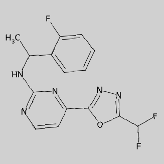 CC(Nc1nccc(-c2nnc(C(F)F)o2)n1)c1ccccc1F